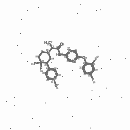 C[C@@H](C(=O)Nc1cnc(Oc2ccc(F)cc2F)cn1)N1CCC(F)(F)C(c2cc[n+]([O-])cc2)C1